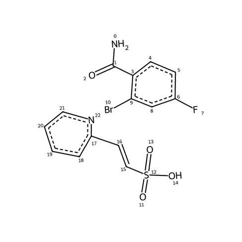 NC(=O)c1ccc(F)cc1Br.O=S(=O)(O)/C=C/c1ccccn1